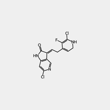 O=C1Nc2cc(Cl)ncc2/C1=C\CC1=CCNC(Cl)=C1F